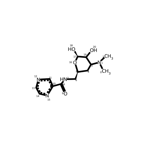 CN(C)C1C[C@@H](CNC(=O)c2cnccn2)O[C@@H](O)C1O